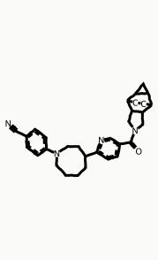 N#Cc1ccc(N2CCCCC(c3ccc(C(=O)N4CC5C6CCC(C7CC67)C5C4)cn3)CC2)cc1